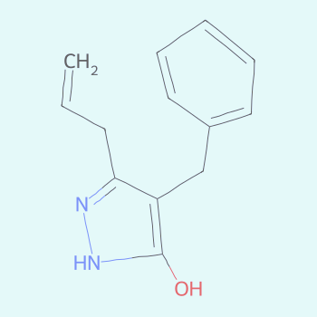 C=CCc1n[nH]c(O)c1Cc1ccccc1